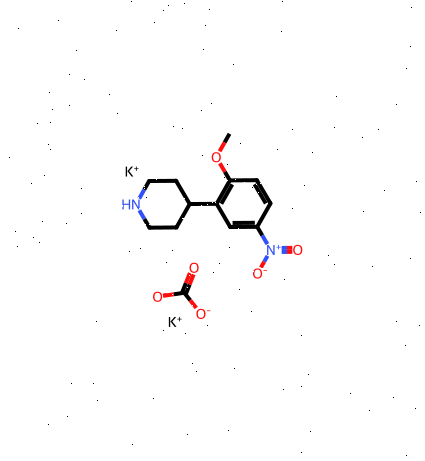 COc1ccc([N+](=O)[O-])cc1C1CCNCC1.O=C([O-])[O-].[K+].[K+]